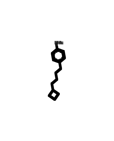 CC(=O)Nc1ccc(CCCCC2CCC2)cc1